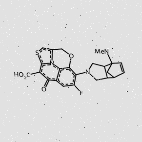 CNC12C=CC(C1)C1CN(c3c(F)cc4c(=O)c(C(=O)O)c5scc6n5c4c3OC6)CC12